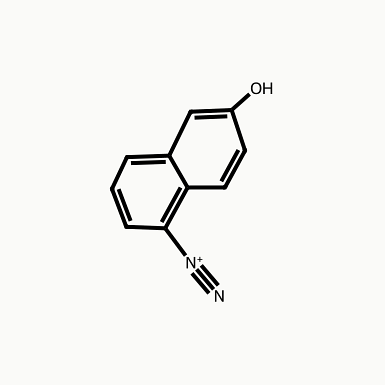 N#[N+]c1cccc2cc(O)ccc12